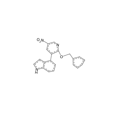 O=[N+]([O-])c1cnc(OCc2ccccc2)c(-c2cccc3[nH]ccc23)c1